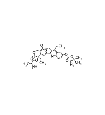 CCc1c2c(nc3ccc(OC(=O)OC(C)(C)C)cc13)-c1cc3c(c(=O)n1C2)COC(=O)[C@@]3(CC)OC(=O)[C@H](C)NI